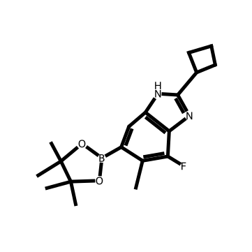 Cc1c(B2OC(C)(C)C(C)(C)O2)cc2[nH]c(C3CCC3)nc2c1F